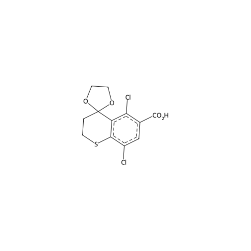 O=C(O)c1cc(Cl)c2c(c1Cl)C1(CCS2)OCCO1